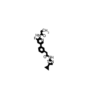 C=CC(=O)Nc1ncc(-c2cccc(CC(=O)Nc3ncc(C4CC4)s3)c2)cc1F